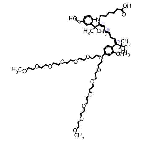 COCCOCCOCCOCCOCCOCCN(CCOCCOCCOCCOCCOCCOC)c1ccc(/C(=C\C/C=C/C=C2/N(CCCCCC(=O)O)c3ccc(SO)cc3C2(C)C)C(C)(C)C)c(O)c1